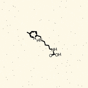 Cc1ccc(CNCCCCNC(=O)O)nc1